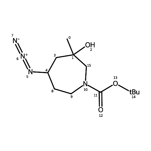 CC1(O)CC(N=[N+]=[N-])CCN(C(=O)OC(C)(C)C)C1